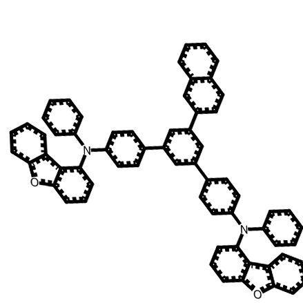 c1ccc(N(c2ccc(-c3cc(-c4ccc(N(c5ccccc5)c5cccc6oc7ccccc7c56)cc4)cc(-c4ccc5ccccc5c4)c3)cc2)c2cccc3oc4ccccc4c23)cc1